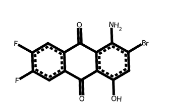 Nc1c(Br)cc(O)c2c1C(=O)c1cc(F)c(F)cc1C2=O